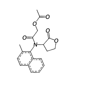 CC(=O)OCC(=O)N(c1c(C)ccc2ccccc12)C1CCOC1=O